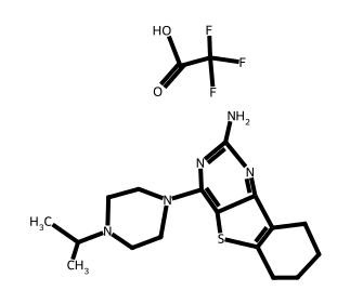 CC(C)N1CCN(c2nc(N)nc3c4c(sc23)CCCC4)CC1.O=C(O)C(F)(F)F